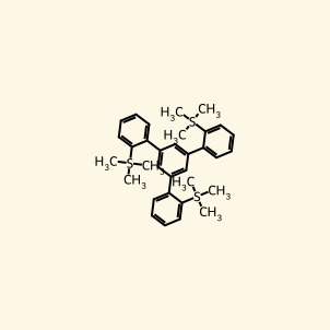 CS(C)(C)c1ccccc1-c1cc(-c2ccccc2S(C)(C)C)cc(-c2ccccc2S(C)(C)C)c1